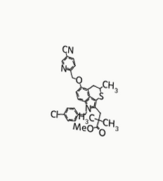 COC(=O)C(C)(C)Cc1c2c3c(c(OCc4ccc(C#N)cn4)ccc3n1Cc1ccc(Cl)cc1)CC(C)S2